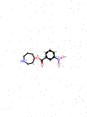 C1CCCNCC1.O=C(O)c1cccc([N+](=O)[O-])c1